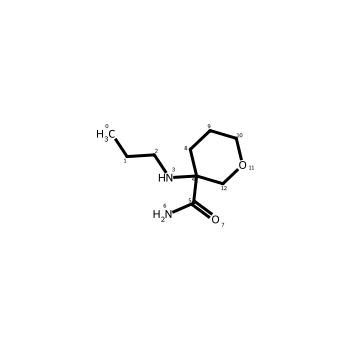 CCCNC1(C(N)=O)CCCOC1